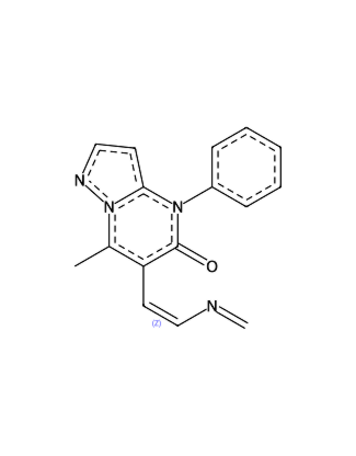 C=N/C=C\c1c(C)n2nccc2n(-c2ccccc2)c1=O